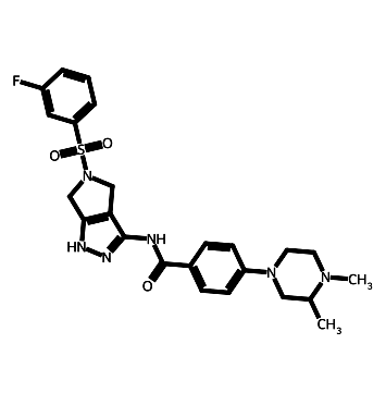 CC1CN(c2ccc(C(=O)Nc3n[nH]c4c3CN(S(=O)(=O)c3cccc(F)c3)C4)cc2)CCN1C